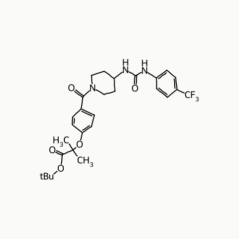 CC(C)(C)OC(=O)C(C)(C)Oc1ccc(C(=O)N2CCC(NC(=O)Nc3ccc(C(F)(F)F)cc3)CC2)cc1